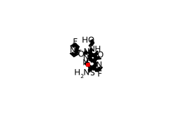 N#Cc1c(N)sc2c(F)cnc(-c3c4c(c5c(NCCO)nc(OC[C@@]67CCCN6C[C@H](F)C7)nc5c3F)COC4)c12